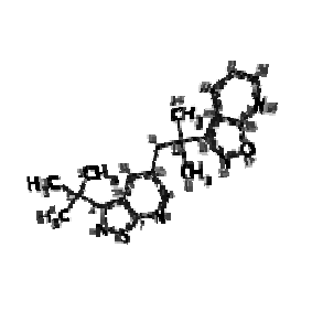 CC(C)(C)c1nsc2ncc(CC(C)(C)c3noc4ncccc34)cc12